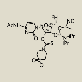 [2H]C[C@H]1O[C@@H](n2ccc(NC(C)=O)nc2=O)[C@@H](OC(=S)N2CCS(=O)(=O)CC2)C1OP(OC(C)[N+]#[C-])N(C(C)C)C(C)C